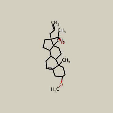 C=CC[C@]1(C(C)=O)CCC2C3CC=C4CC(OC)CCC4(C)C3CCC21C